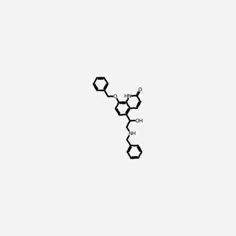 O=c1ccc2c(C(O)CNCc3ccccc3)ccc(OCc3ccccc3)c2[nH]1